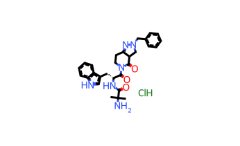 CC(C)(N)C(=O)N[C@H](Cc1c[nH]c2ccccc12)C(=O)N1CCC2=NN(Cc3ccccc3)CC2C1=O.Cl